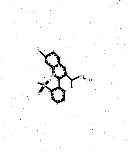 C[C@H](NC(=O)O)c1cc2ccc(F)cc2nc1-c1ccccc1S(C)(=O)=O